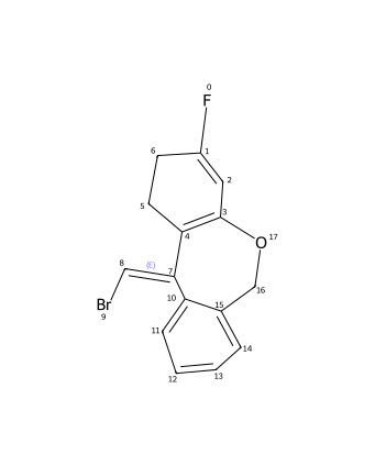 FC1=CC2=C(CC1)/C(=C/Br)c1ccccc1CO2